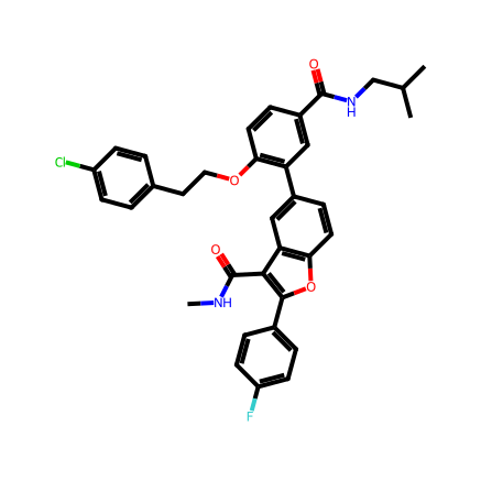 CNC(=O)c1c(-c2ccc(F)cc2)oc2ccc(-c3cc(C(=O)NCC(C)C)ccc3OCCc3ccc(Cl)cc3)cc12